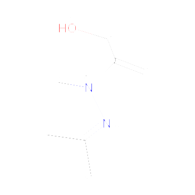 C=C(CO)N(C)N=C(C)C